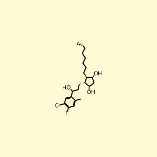 CC(=O)CCCCCC[C@@H]1[C@@H](CCC(O)c2cc(Cl)c(F)cc2C)[C@H](O)C[C@@H]1O